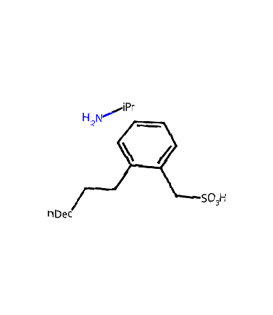 CC(C)N.CCCCCCCCCCCCc1ccccc1CS(=O)(=O)O